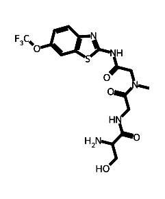 CN(CC(=O)Nc1nc2ccc(OC(F)(F)F)cc2s1)C(=O)CNC(=O)C(N)CO